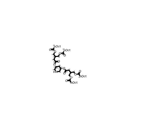 CCCCCCCCC(=O)OCC(COC(=O)CCCCCCCC)CC(=O)O[C@@H]1CNC[C@H](OC(=O)CC(COC(=O)CCCCCCCC)COC(=O)CCCCCCCC)C1